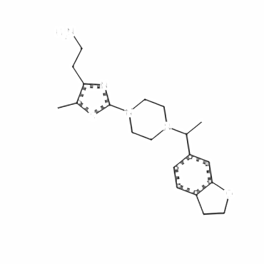 Cc1sc(N2CCN(C(C)c3ccc4c(c3)OCC4)CC2)nc1CCN